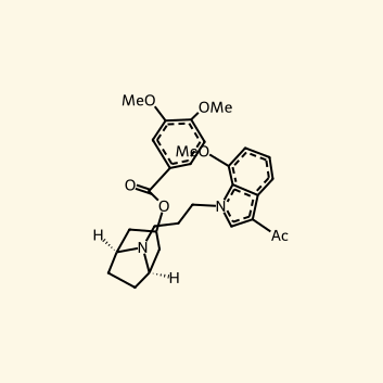 COc1ccc(C(=O)OC2C[C@H]3CC[C@@H](C2)N3CCCn2cc(C(C)=O)c3cccc(OC)c32)cc1OC